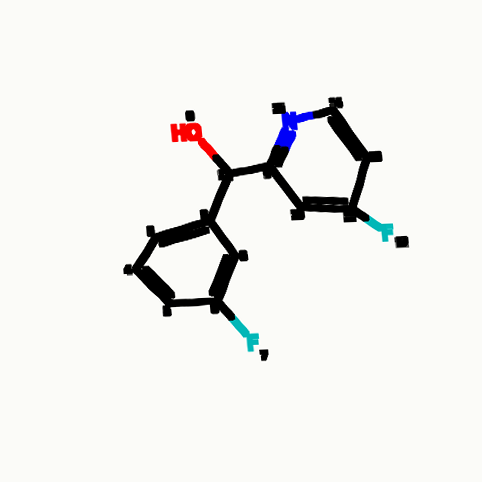 O[C](c1cccc(F)c1)c1cc(F)ccn1